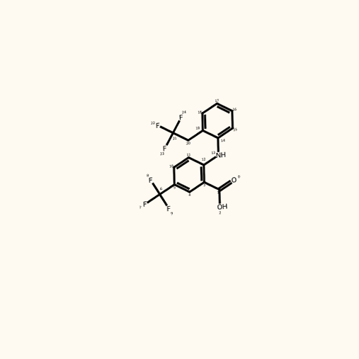 O=C(O)c1cc(C(F)(F)F)ccc1Nc1ccccc1CC(F)(F)F